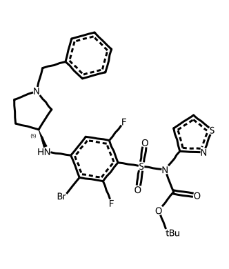 CC(C)(C)OC(=O)N(c1ccsn1)S(=O)(=O)c1c(F)cc(N[C@H]2CCN(Cc3ccccc3)C2)c(Br)c1F